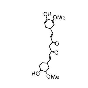 COC1=CC(C=CC(=O)CC(=O)C=CC2CCC(O)C(OC)C2)CC=C1O